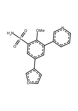 COc1c(-c2cccnc2)cc(-c2ccoc2)cc1S(N)(=O)=O